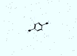 COc1cc(C#N)c(OC)cc1C#N